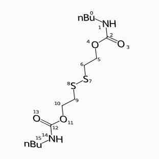 CCCCNC(=O)OCCSSCCOC(=O)NCCCC